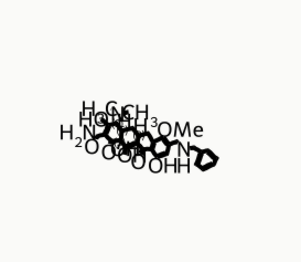 COc1c(CNCc2ccccc2)cc(O)c2c1C[C@H]1C[C@H]3[C@H](N(C)C)C(O)=C(C(N)=O)C(=O)[C@@]3(O)C(O)=C1C2=O